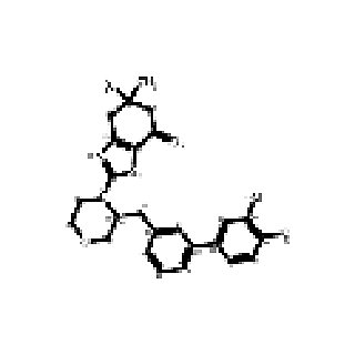 CC1(C)CC(=O)c2sc(N3CCOC[C@@H]3Cc3cccc(-c4ccc(Cl)c(Cl)c4)c3)nc2C1